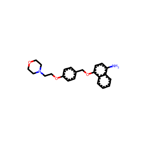 Nc1ccc(OCc2ccc(OCCN3CCOCC3)cc2)c2ccccc12